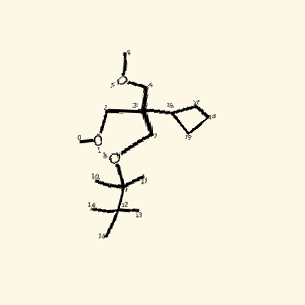 COCC(COC)(COC(C)(C)C(C)(C)C)C1CCC1